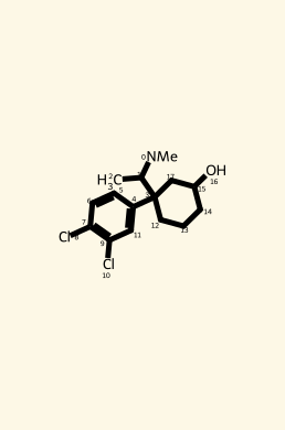 CNC(C)C1(c2ccc(Cl)c(Cl)c2)CCCC(O)C1